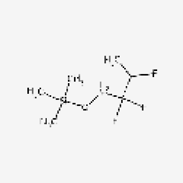 CC(F)C(F)(F)[SiH2]O[Si](C)(C)C